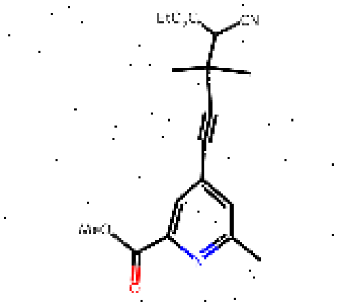 CCOC(=O)C(C#N)C(C)(C)C#Cc1cc(C)nc(C(=O)OC)c1